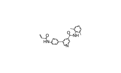 C=CC(=O)Nc1ccc(-c2cncc(C(=O)Nc3c(C)cccc3C)c2)cc1